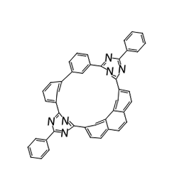 c1ccc(-c2nc3nc(n2)c2ccc4ccc5ccc(cc5c4c2)c2nc(-c4ccccc4)nc(n2)c2cccc(c2)c2cccc3c2)cc1